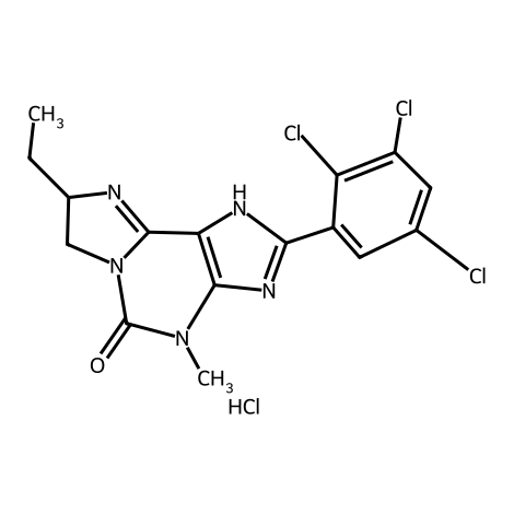 CCC1CN2C(=O)N(C)c3nc(-c4cc(Cl)cc(Cl)c4Cl)[nH]c3C2=N1.Cl